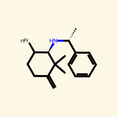 C=C1CCC(CCC)[C@@H](N[C@H](C)c2ccccc2)C1(C)C